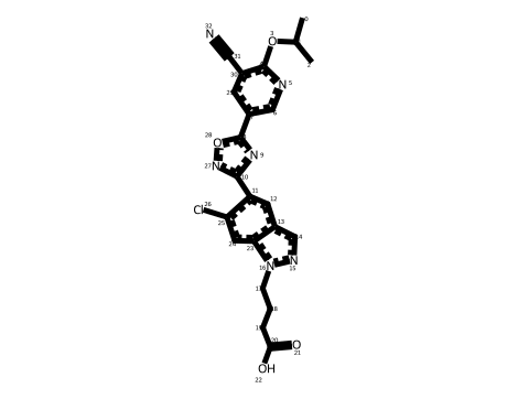 CC(C)Oc1ncc(-c2nc(-c3cc4cnn(CCCC(=O)O)c4cc3Cl)no2)cc1C#N